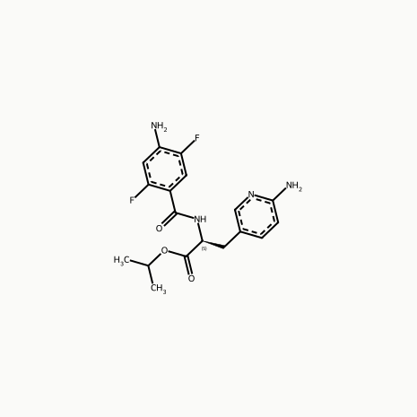 CC(C)OC(=O)[C@H](Cc1ccc(N)nc1)NC(=O)c1cc(F)c(N)cc1F